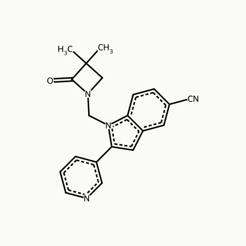 CC1(C)CN(Cn2c(-c3cccnc3)cc3cc(C#N)ccc32)C1=O